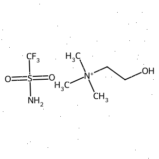 C[N+](C)(C)CCO.NS(=O)(=O)C(F)(F)F